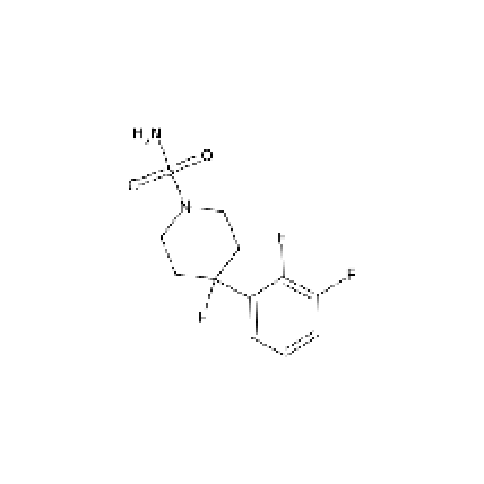 NS(=O)(=O)N1CCC(F)(c2cccc(F)c2F)CC1